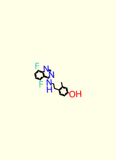 Cc1cc(O)ccc1CCNc1ncnc2c(F)ccc(F)c12